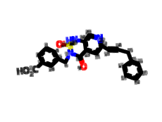 O=C(O)c1cccc(CN2C(=O)c3cc(C#CCc4ccccc4)ncc3N[S+]2[O-])c1